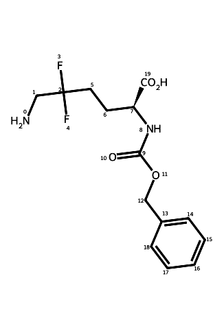 NCC(F)(F)CC[C@H](NC(=O)OCc1ccccc1)C(=O)O